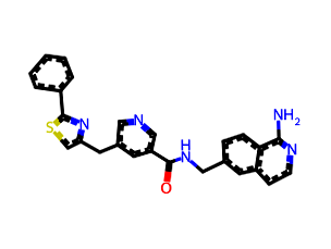 Nc1nccc2cc(CNC(=O)c3cncc(Cc4csc(-c5ccccc5)n4)c3)ccc12